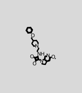 COc1cc2c(cn1)N(c1c(NCCN3CCC(COc4ccccc4)CC3)c(=O)c1=O)CC2